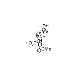 COC(=O)[C@H](Cc1ccc(O)cc1)NC(=O)c1cc(C(=O)O)c2cc(-c3ccccc3OC)ccc2n1